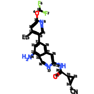 CCc1cc(OC(F)F)ncc1-c1cc(N)c2cnc(NC(=O)[C@H]3C[C@@H]3C#N)cc2c1